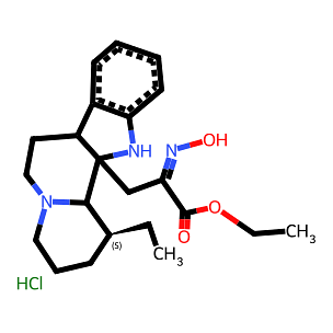 CCOC(=O)C(CC12Nc3ccccc3C1CCN1CCC[C@H](CC)C12)=NO.Cl